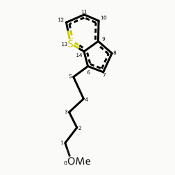 COCCCCCc1ccc2cccsc1-2